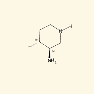 C[C@@H]1CCN(I)C[C@H]1N